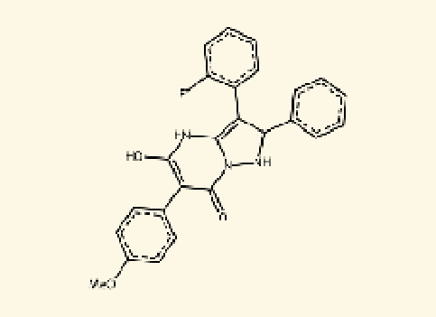 COc1ccc(C2=C(O)NC3=C(c4ccccc4F)C(c4ccccc4)NN3C2=O)cc1